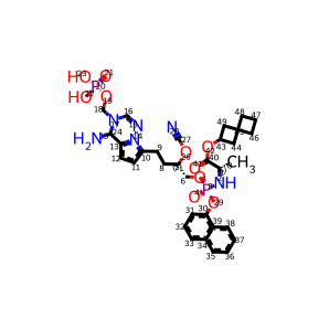 C[C@H](NP(=O)(OC[C@H](CCc1ccc2n1N=CN(COP(=O)(O)O)C2N)OC#N)Oc1cccc2ccccc12)C(=O)OC1CC2(CCC2)C1